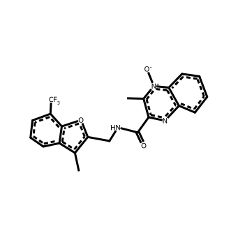 Cc1c(CNC(=O)c2nc3ccccc3[n+]([O-])c2C)oc2c(C(F)(F)F)cccc12